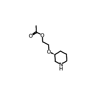 CC(=O)OCCO[C@H]1CCCNC1